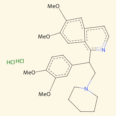 COc1ccc(C(CN2CCCCC2)c2nccc3cc(OC)c(OC)cc23)cc1OC.Cl.Cl